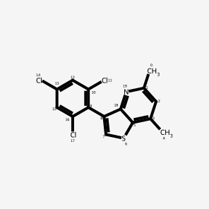 Cc1cc(C)c2scc(-c3c(Cl)cc(Cl)cc3Cl)c2n1